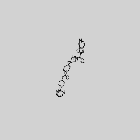 O=C(NCC1CC12CCN(C(=O)CC1CCN(c3ncccn3)CC1)CC2)c1cc2ccncc2o1